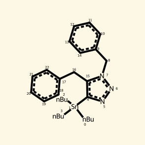 CCC[CH2][Sn]([CH2]CCC)([CH2]CCC)[c]1nnn(Cc2ccccc2)c1Cc1ccccc1